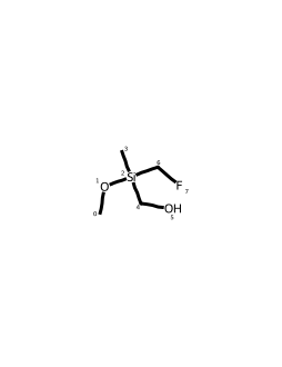 CO[Si](C)(CO)CF